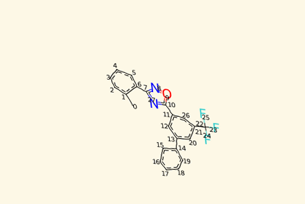 Cc1ccccc1-c1noc(-c2cc(-c3ccccc3)cc(C(F)(F)F)c2)n1